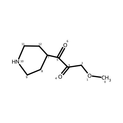 COCC(=O)C(=O)C1CCNCC1